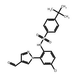 CC(C)(C)c1ccc(S(=O)(=O)Nc2ccc(Cl)cc2-n2cc(C=O)cn2)cc1